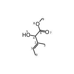 C/C=C(\C)C(O)C(=O)OC